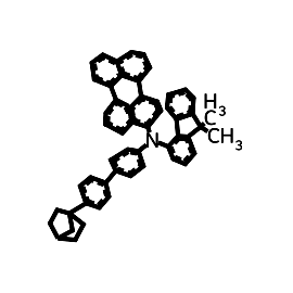 CC1(C)c2ccccc2-c2c(N(c3ccc(-c4ccc(C56CCC(CC5)C6)cc4)cc3)c3ccc(-c4cccc5cccc(-c6ccccc6)c45)cc3)cccc21